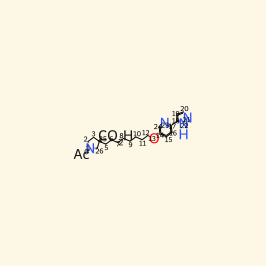 CC(=O)N1CCC(CCCCCCCCOc2ccc(-c3ccn[nH]3)nc2)(C(=O)O)C1